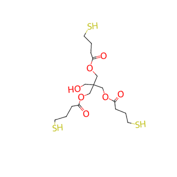 O=C(CCCS)OCC(CO)(COC(=O)CCCS)COC(=O)CCCS